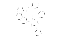 C1=CC(C2Nc3c(ccc4ccc5ccc(C6N=C(c7ccccc7)N=C(c7ccccc7)N6)cc5c34)O2)=CCC1